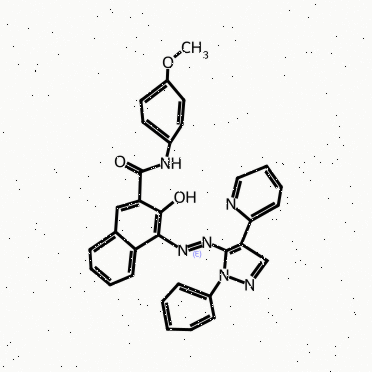 COc1ccc(NC(=O)c2cc3ccccc3c(/N=N/c3c(-c4ccccn4)cnn3-c3ccccc3)c2O)cc1